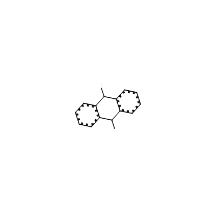 [2H]C1c2ccccc2C([2H])c2ccccc21